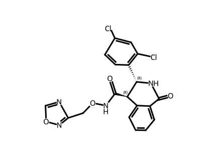 O=C1N[C@@H](c2ccc(Cl)cc2Cl)[C@H](C(=O)NOCc2ncon2)c2ccccc21